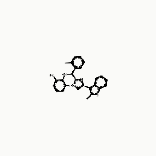 Cc1ccccc1C(Nc1c(C(C)C)cccc1C(C)C)c1nc(-c2c(C)sc3ccccc23)cs1